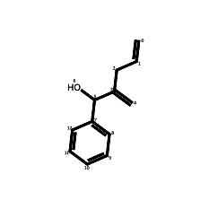 C=CCC(=C)[C](O)c1ccccc1